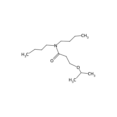 CCCCN(CCCC)C(=O)CCOC(C)C